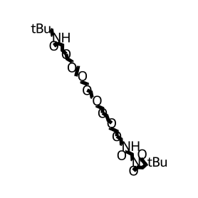 CC(C)(C)CCNC(=O)CCOCCOCCOCCOCCOCCOCCOCCOCCNC(=O)CCN1C(=O)CC(C(C)(C)C)C1=O